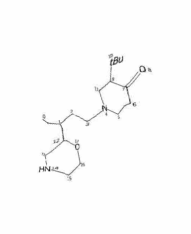 CC(CCN1CCC(=O)C(C(C)(C)C)C1)C1CNCCO1